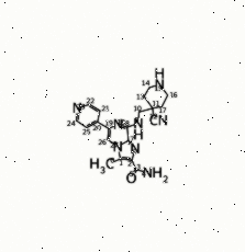 Cc1c(C(N)=O)nc2c(NCC3(C#N)CCNCC3)nc(-c3ccncc3)cn12